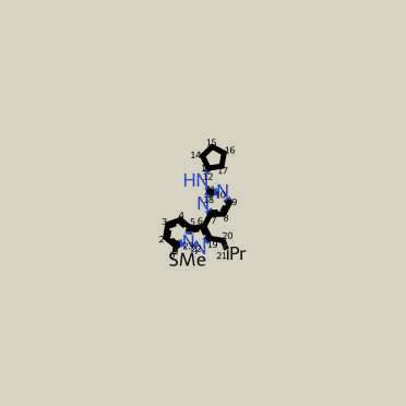 CSc1cccc2c(-c3ccnc(NC4CCCC4)n3)c(CC(C)C)nn12